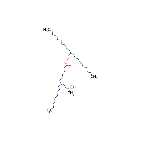 CCCCCCCCCCC(CCCCCCCCCC)CCOC(=O)CCCCCN(CCCCCCCCC)CCN(C)C